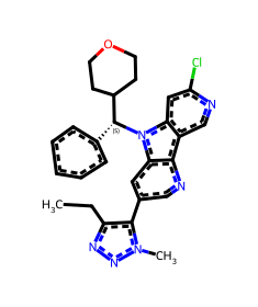 CCc1nnn(C)c1-c1cnc2c3cnc(Cl)cc3n([C@H](c3ccccc3)C3CCOCC3)c2c1